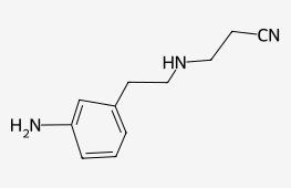 N#CCCNCCc1cccc(N)c1